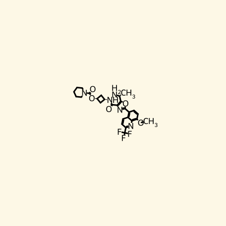 COc1ccc(-c2nc(C(=O)N[C@H]3C[C@@H](OC(=O)N4CCCCC4)C3)c([C@H](C)N)o2)c2ccc(C(F)(F)F)nc12